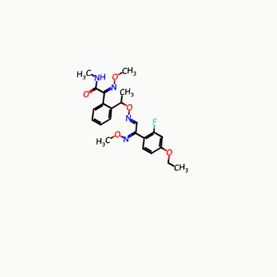 CCOc1ccc(C(C=NOC(C)c2ccccc2C(=NOC)C(=O)NC)=NOC)c(F)c1